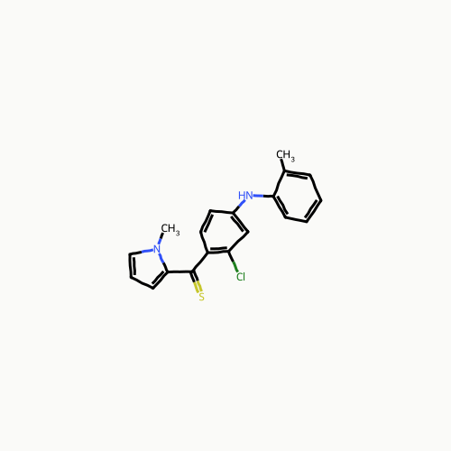 Cc1ccccc1Nc1ccc(C(=S)c2cccn2C)c(Cl)c1